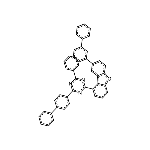 c1ccc(-c2ccc(-c3nc(-c4ccccc4)nc(-c4cccc5oc6ccc(-c7cccc(-c8ccccc8)c7)cc6c45)n3)cc2)cc1